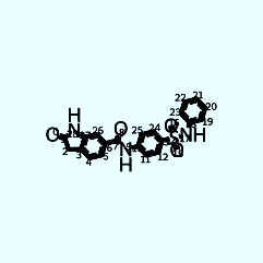 O=C1Cc2ccc(C(=O)Nc3ccc(S(=O)(=O)Nc4ccccc4)cc3)cc2N1